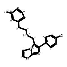 Clc1ccc(-c2nc3sccn3c2CNCCc2cccc(Cl)c2)cc1